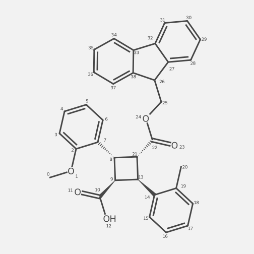 COc1ccccc1[C@H]1[C@H](C(=O)O)[C@H](c2ccccc2C)[C@H]1C(=O)OCC1c2ccccc2-c2ccccc21